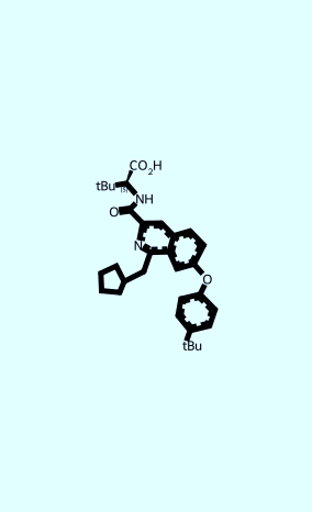 CC(C)(C)c1ccc(Oc2ccc3cc(C(=O)N[C@H](C(=O)O)C(C)(C)C)nc(CC4CCCC4)c3c2)cc1